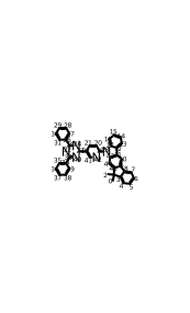 CC1(C)c2ccccc2-c2cc3c4ccccc4n(-c4ccc(-c5nc(-c6ccccc6)nc(-c6ccccc6)n5)cn4)c3cc21